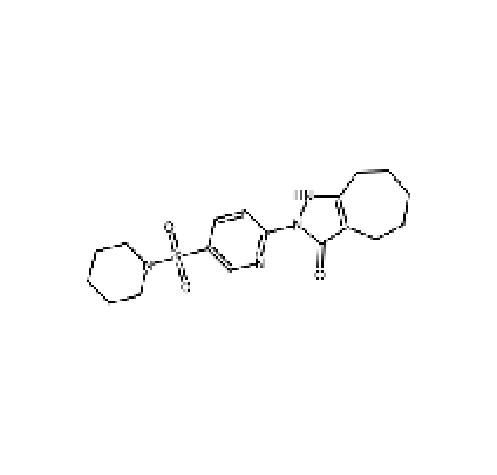 O=c1c2c([nH]n1-c1ccc(S(=O)(=O)N3CCCCC3)cn1)CCCCC2